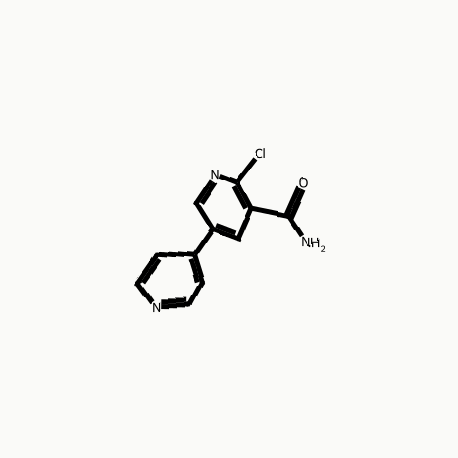 NC(=O)c1cc(-c2ccncc2)cnc1Cl